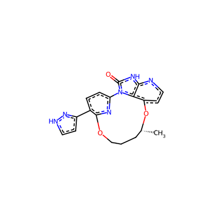 C[C@@H]1CCCOc2nc(ccc2-c2cc[nH]n2)-n2c(=O)[nH]c3nccc(c32)O1